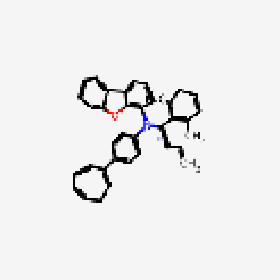 C=C/C=C(\C1=C(C)C=CCC1C)N(c1ccc(C2=CCC=CC=C2)cc1)c1cccc2c1oc1ccccc12